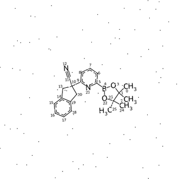 CC1(C)OB(c2cccc(C3(C#N)Cc4ccccc4C3)n2)OC1(C)C